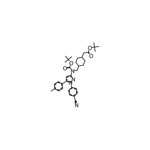 Cc1ccc(-c2cc(N(CC3CCC(CC(=O)OC(C)(C)C)CC3)C(=O)OC(C)(C)C)nn2-c2ccc(C#N)cc2)cc1